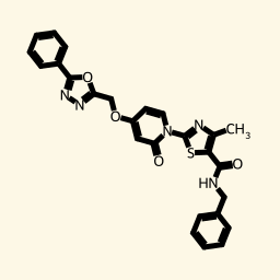 Cc1nc(-n2ccc(OCc3nnc(-c4ccccc4)o3)cc2=O)sc1C(=O)NCc1ccccc1